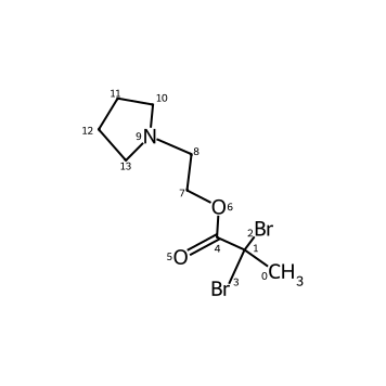 CC(Br)(Br)C(=O)OCCN1CCCC1